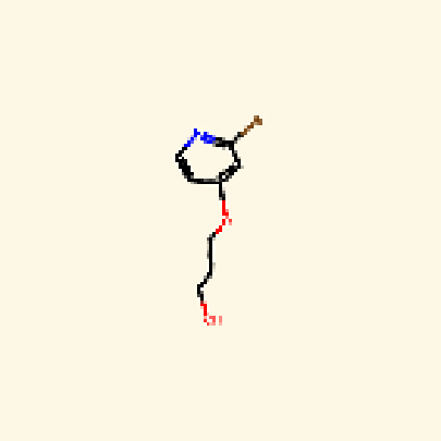 OCCCOc1ccnc(Br)c1